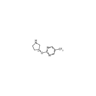 FC(F)(F)c1cnc(O[C@H]2CCNC2)nc1